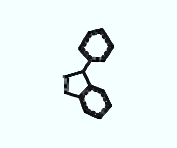 [C]1=Cc2ccccc2C1c1ccccc1